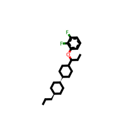 CCC[C@H]1CC[C@H](C2CCC(C(CC)Oc3cccc(F)c3F)CC2)CC1